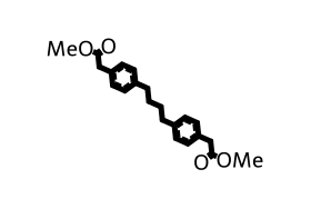 COC(=O)Cc1ccc(CCCCc2ccc(CC(=O)OC)cc2)cc1